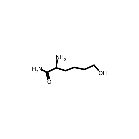 NC(=O)[C@@H](N)CCCCO